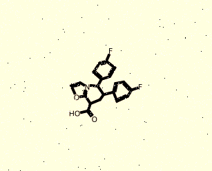 CC(c1ccc(F)cc1)C(CC(C(=O)O)c1ncco1)c1ccc(F)cc1